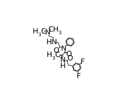 C[C@H](NC(=O)Cc1cc(F)cc(F)c1)C(=O)N(C(=O)CNCCN(C)C)c1ccccc1